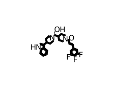 O=C(/C=C/c1cc(F)c(F)c(F)c1)N1CCC([C@@H](CO)N2CCC(c3c[nH]c4ccccc34)CC2)CC1